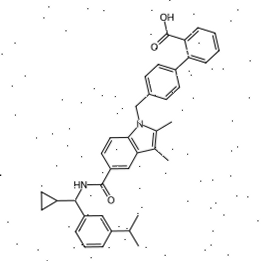 Cc1c(C)n(Cc2ccc(-c3ccccc3C(=O)O)cc2)c2ccc(C(=O)NC(c3cccc(C(C)C)c3)C3CC3)cc12